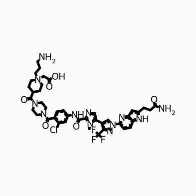 Cn1c(-c2cn(-c3ccc4[nH]c(CCC(N)=O)cc4n3)nc2C(F)(F)F)cnc1C(=O)Nc1ccc(C(=O)N2CCN(C(=O)C3CC[N+](CCCN)(CC(=O)O)CC3)CC2)c(Cl)c1